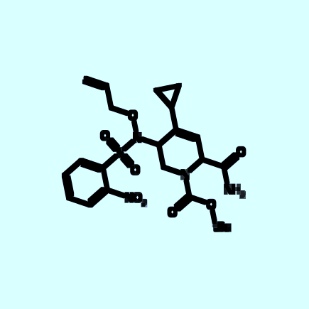 C=CCON(C1CN(C(=O)OC(C)(C)C)C(C(N)=O)C=C1C1CC1)S(=O)(=O)c1ccccc1[N+](=O)[O-]